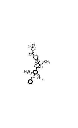 COC[C@H](NC(=O)c1cc(OC)c(OCc2ccccc2)c(OC)c1)C(=O)NC1CCN(C(=O)OCC(Cl)(Cl)Cl)CC1